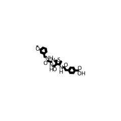 COc1cccc(CNC(=O)c2nc3scc(NC(=O)Cc4ccc(C(=O)O)cc4)c3c(=O)[nH]2)c1